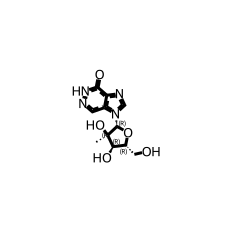 C[C@@]1(O)[C@H](O)[C@@H](CO)O[C@H]1n1cnc2c(=O)[nH]ncc21